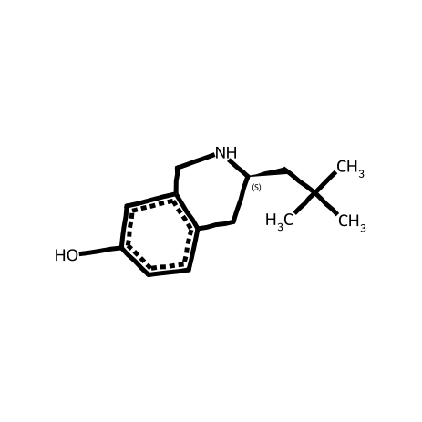 CC(C)(C)C[C@H]1Cc2ccc(O)cc2CN1